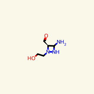 NC1NN(CCO)[C@H]1C=O